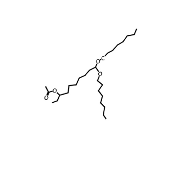 CCCCCCCCOC(CCCCCCC(CC)OC(C)=O)OCCCCCCCC